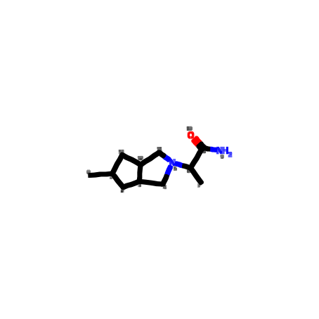 CC1CC2CN(C(C)C(N)=O)CC2C1